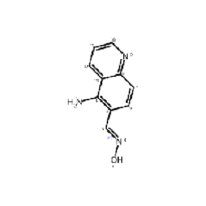 Nc1c(/C=N/O)ccc2ncccc12